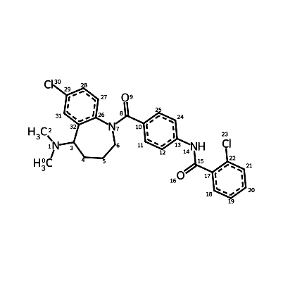 CN(C)C1CCCN(C(=O)c2ccc(NC(=O)c3ccccc3Cl)cc2)c2ccc(Cl)cc21